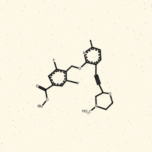 Cc1ccc(C#CC2CN(C(=O)O)CCO2)c(OCc2c(F)cc(C(=O)OC(C)(C)C)cc2F)n1